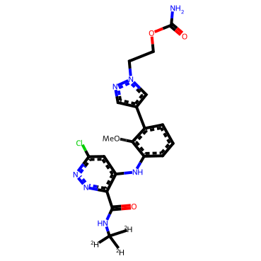 [2H]C([2H])([2H])NC(=O)c1nnc(Cl)cc1Nc1cccc(-c2cnn(CCOC(N)=O)c2)c1OC